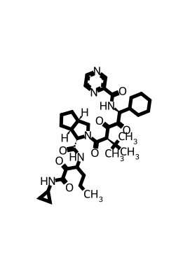 CCCC(NC(=O)[C@@H]1[C@H]2CCC[C@H]2CN1C(=O)[C@@H](C(=O)C(=O)[C@@H](NC(=O)c1cnccn1)C1CCCCC1)C(C)(C)C)C(=O)C(=O)NC1CC1